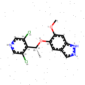 COc1cc2[nH]ncc2cc1O[C@H](C)c1c(Cl)cncc1Cl